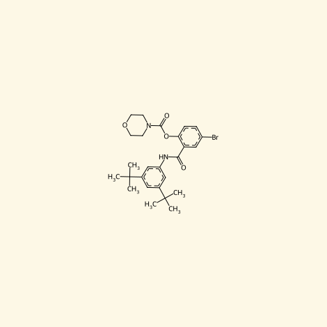 CC(C)(C)c1cc(NC(=O)c2cc(Br)ccc2OC(=O)N2CCOCC2)cc(C(C)(C)C)c1